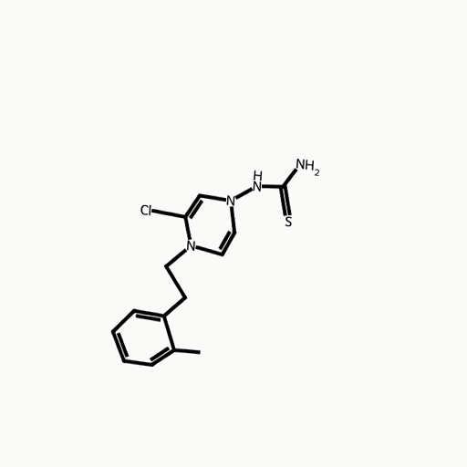 Cc1ccccc1CCN1C=CN(NC(N)=S)C=C1Cl